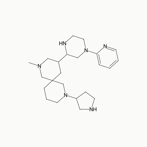 CN1CC(C2CN(c3ccccn3)CCN2)CC2(CCCN(C3CCNC3)C2)C1